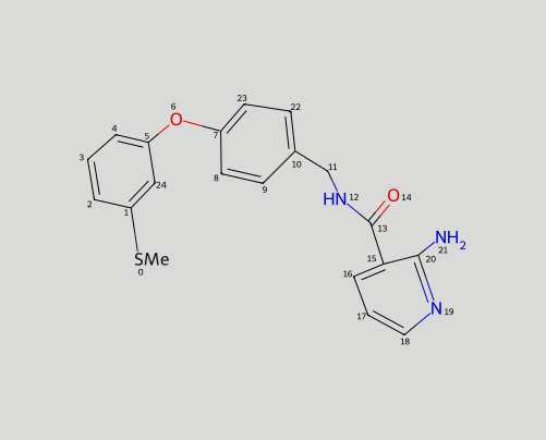 CSc1cccc(Oc2ccc(CNC(=O)c3cccnc3N)cc2)c1